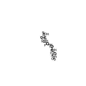 COC(=O)N[C@@H](C)C(=O)N1CCC[C@H]1c1ncc(-c2ccnc(-c3ccc(-c4cnc([C@@H]5CCCN5C(=O)[C@H](C)N(C)C(=O)O)[nH]4)c(F)c3)n2)[nH]1